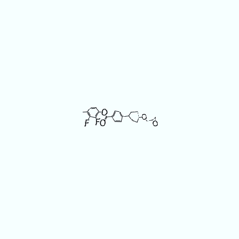 Cc1ccc(OC(=O)c2ccc(C3CCC(OCC4CO4)CC3)cc2)c(F)c1F